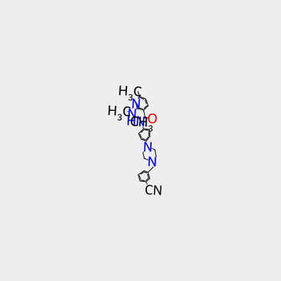 Cc1ccc(C(=O)Nc2ccc(N3CCN(Cc4cccc(C#N)c4)CC3)cc2)c(N(C)C)n1